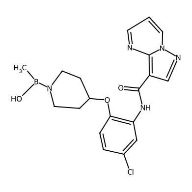 CB(O)N1CCC(Oc2ccc(Cl)cc2NC(=O)c2cnn3cccnc23)CC1